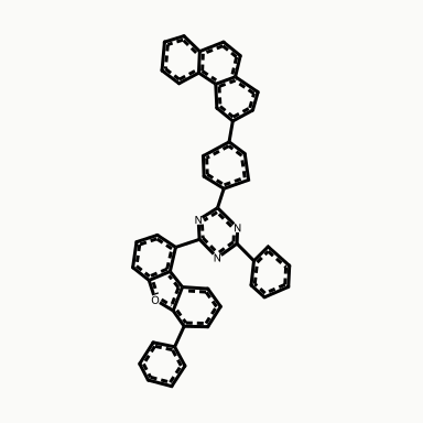 c1ccc(-c2nc(-c3ccc(-c4ccc5ccc6ccccc6c5c4)cc3)nc(-c3cccc4oc5c(-c6ccccc6)cccc5c34)n2)cc1